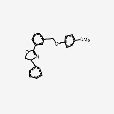 COc1ccc(OCc2cccc(C3=NC(c4ccccc4)CO3)c2)cc1